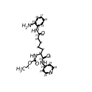 CCOC(=O)NC(CCCCC(=O)Nc1ccccc1N)C(=O)Nc1ccncc1